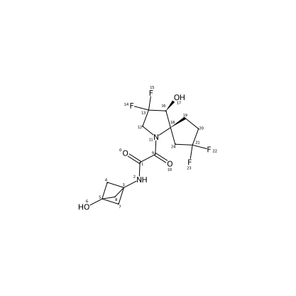 O=C(NC12CC(O)(C1)C2)C(=O)N1CC(F)(F)[C@@H](O)[C@@]12CCC(F)(F)C2